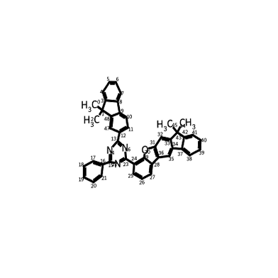 CC1(C)c2ccccc2-c2ccc(-c3nc(-c4ccccc4)nc(-c4cccc5c4oc4cc6c(cc45)-c4ccccc4C6(C)C)n3)cc21